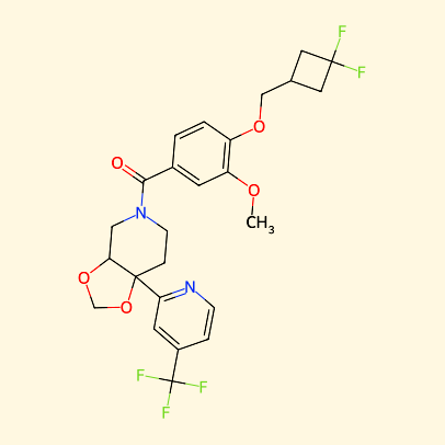 COc1cc(C(=O)N2CCC3(c4cc(C(F)(F)F)ccn4)OCOC3C2)ccc1OCC1CC(F)(F)C1